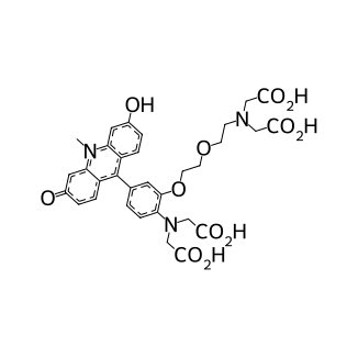 Cn1c2cc(=O)ccc-2c(-c2ccc(N(CC(=O)O)CC(=O)O)c(OCCOCCN(CC(=O)O)CC(=O)O)c2)c2ccc(O)cc21